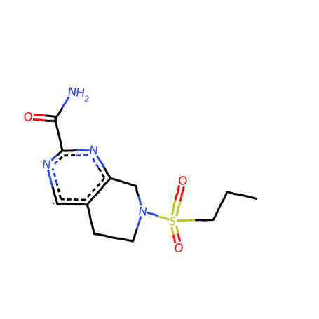 CCCS(=O)(=O)N1CCc2[c]nc(C(N)=O)nc2C1